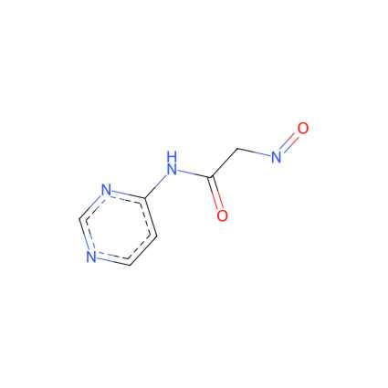 O=NCC(=O)Nc1ccncn1